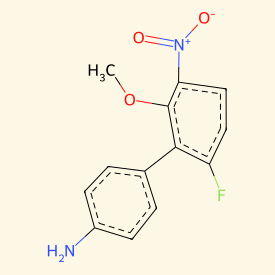 COc1c([N+](=O)[O-])ccc(F)c1-c1ccc(N)cc1